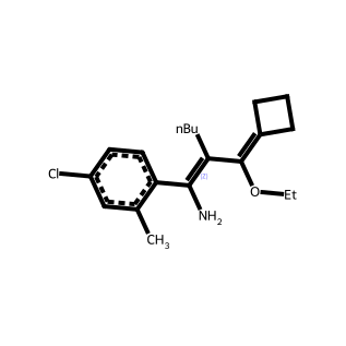 CCCC/C(C(OCC)=C1CCC1)=C(/N)c1ccc(Cl)cc1C